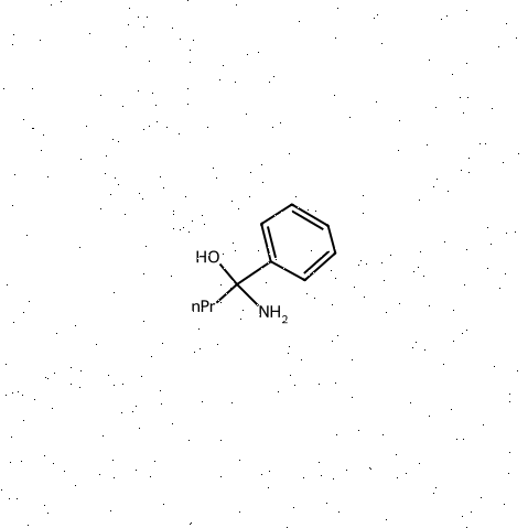 CCCC(N)(O)c1ccccc1